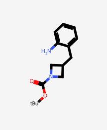 CC(C)(C)OC(=O)N1CC(Cc2ccccc2N)C1